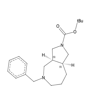 CC(C)(C)OC(=O)N1C[C@H]2CCCN(Cc3ccccc3)C[C@H]2C1